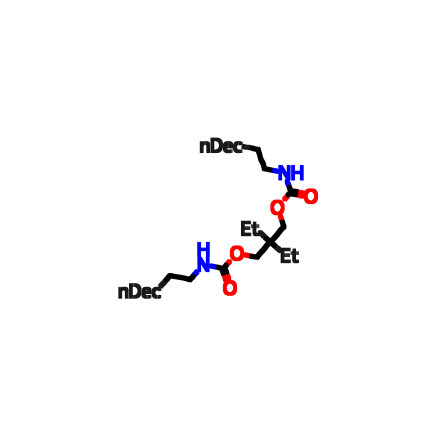 CCCCCCCCCCCCNC(=O)OCC(CC)(CC)COC(=O)NCCCCCCCCCCCC